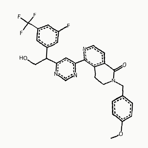 COc1ccc(CN2CCc3c(ccnc3-c3cc(C(CO)c4cc(F)cc(C(F)(F)F)c4)ncn3)C2=O)cc1